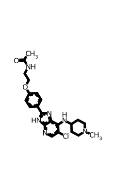 CC(=O)NCCOc1ccc(-c2nc3c(NC4CCN(C)CC4)c(Cl)cnc3[nH]2)cc1